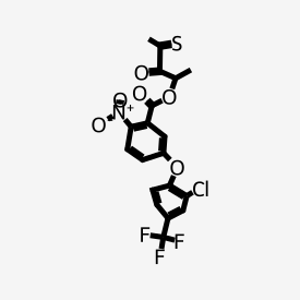 CC(=S)C(=O)C(C)OC(=O)c1cc(Oc2ccc(C(F)(F)F)cc2Cl)ccc1[N+](=O)[O-]